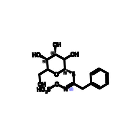 O=S(=O)(O)O/N=C(/Cc1ccccc1)S[C@@H]1OC(CO)[C@@H](O)[C@H](O)C1O